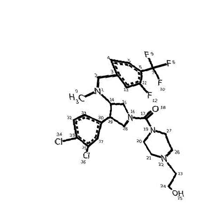 CN(Cc1ccc(C(F)(F)F)c(F)c1)C1CN(C(=O)N2CCN(CCO)CC2)CC1c1ccc(Cl)c(Cl)c1